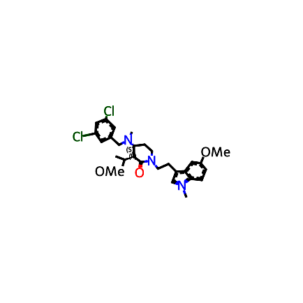 COc1ccc2c(c1)c(CCN1CC[C@H](N(C)Cc3cc(Cl)cc(Cl)c3)[C@H](C(C)OC)C1=O)cn2C